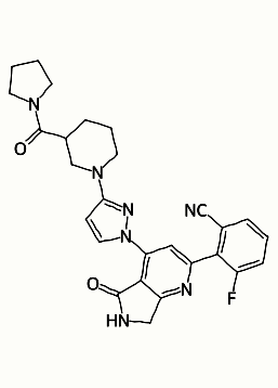 N#Cc1cccc(F)c1-c1cc(-n2ccc(N3CCCC(C(=O)N4CCCC4)C3)n2)c2c(n1)CNC2=O